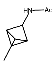 CC(=O)NC1C2CC1C2C